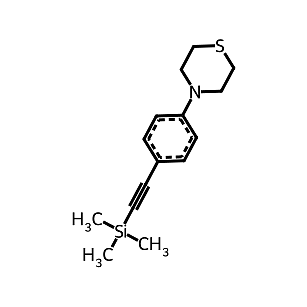 C[Si](C)(C)C#Cc1ccc(N2CCSCC2)cc1